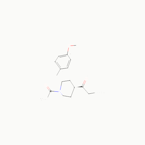 CCOC(=O)CC(=O)[C@H]1CCN(C(=O)OC)[C@H](Cc2ccc(OC(F)(F)F)cc2)C1